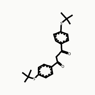 CC(C)(C)Sc1ccc(C(=O)CC(=O)c2ccc(SC(C)(C)C)cc2)cc1